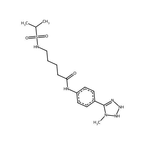 CC(C)S(=O)(=O)NCCCCC(=O)Nc1ccc(C2=NNNN2C)cc1